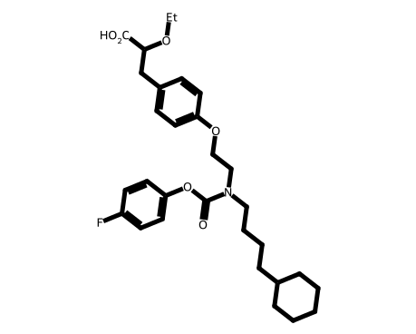 CCOC(Cc1ccc(OCCN(CCCCC2CCCCC2)C(=O)Oc2ccc(F)cc2)cc1)C(=O)O